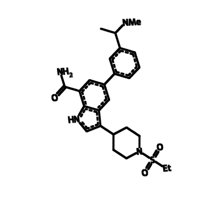 CCS(=O)(=O)N1CCC(c2c[nH]c3c(C(N)=O)cc(-c4cccc(C(C)NC)c4)cc23)CC1